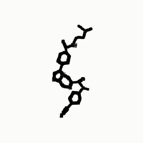 CN(C)CCNC(=O)c1ccc(-c2cnc3cnc(C(=O)N(C)c4ccc(C#N)cc4)cn23)cc1